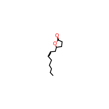 CCCCC/C=C\CC1CCC(=O)O1